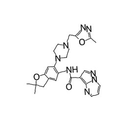 Cc1nnc(CN2CCN(c3cc4c(cc3NC(=O)c3cnn5cccnc35)CC(C)(C)O4)CC2)o1